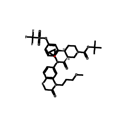 COCCCN1C(=O)CSc2ccc(N(C(=O)[C@H]3CN(C(=O)OC(C)(C)C)CC[C@@H]3c3cccc(OS(=O)(=O)C(F)(F)F)c3)C3CC3)cc21